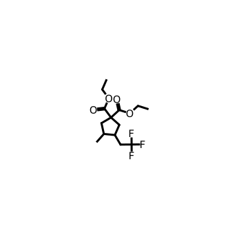 CCOC(=O)C1(C(=O)OCC)CC(C)C(CC(F)(F)F)C1